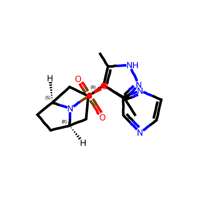 Cc1n[nH]c(C)c1S(=O)(=O)N1[C@@H]2CC[C@H]1C[C@@H](Oc1cnccn1)C2